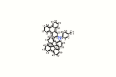 CCc1ccc(N(c2ccc3c4ccccc4c4ccccc4c3c2)c2cccc3c2-c2ccccc2C32c3ccccc3-c3ccccc32)cc1